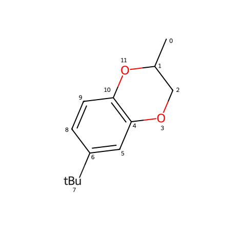 CC1COc2cc(C(C)(C)C)ccc2O1